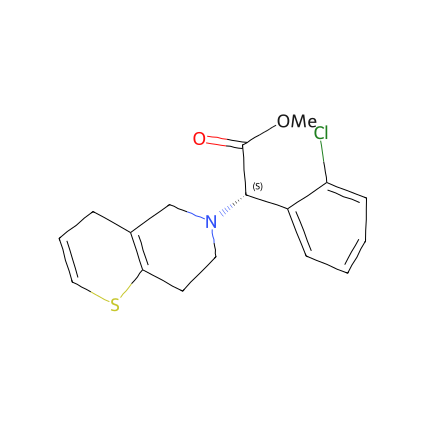 COC(=O)[C@H](c1ccccc1Cl)N1CCC2=C(CC=CS2)C1